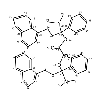 CN(C)C(CCc1cccc2ccccc12)(OC(=O)C(=O)OC(CCc1cccc2ccccc12)(c1ccccc1)N(C)C)c1ccccc1